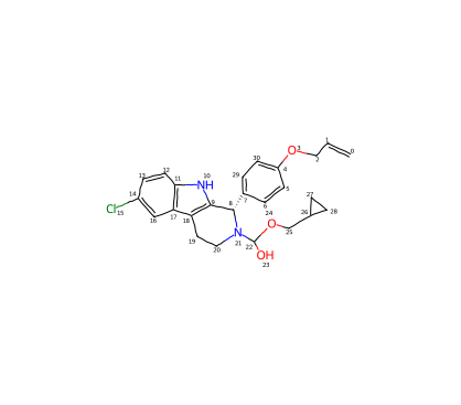 C=CCOc1ccc([C@H]2c3[nH]c4ccc(Cl)cc4c3CCN2C(O)OCC2CC2)cc1